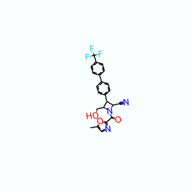 Cc1cnc(C(=O)N2C(C#N)C(c3ccc(-c4ccc(C(F)(F)F)cc4)cc3)C2CO)o1